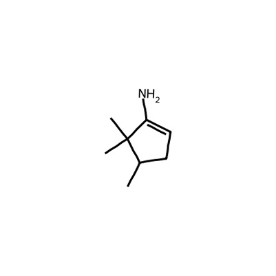 CC1CC=C(N)C1(C)C